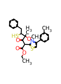 CCOC(=O)C(C(=O)C(C)(OC)C(S)Cc1ccccc1)c1nc(-c2cccc(C)c2)cs1